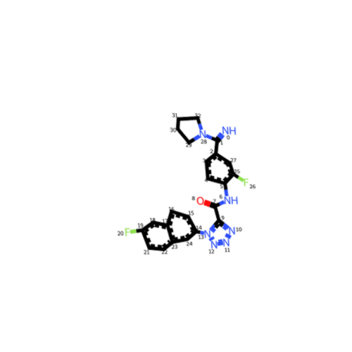 N=C(c1ccc(NC(=O)c2nnnn2-c2ccc3cc(F)ccc3c2)c(F)c1)N1CCCC1